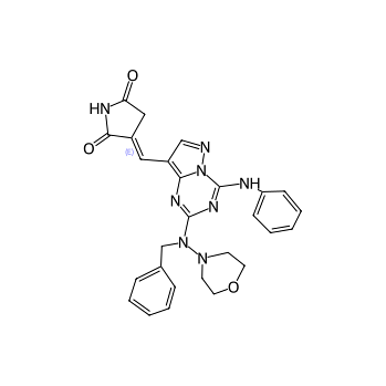 O=C1C/C(=C\c2cnn3c(Nc4ccccc4)nc(N(Cc4ccccc4)N4CCOCC4)nc23)C(=O)N1